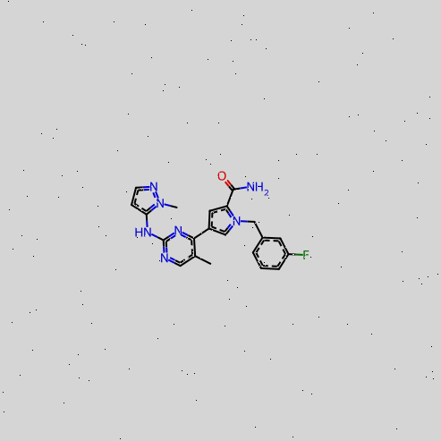 Cc1cnc(Nc2ccnn2C)nc1-c1cc(C(N)=O)n(Cc2cccc(F)c2)c1